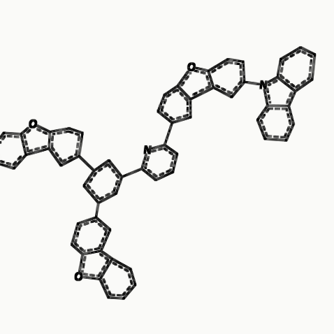 c1cc(-c2cc(-c3ccc4oc5ccccc5c4c3)cc(-c3ccc4oc5ccccc5c4c3)c2)nc(-c2ccc3oc4ccc(-n5c6ccccc6c6ccccc65)cc4c3c2)c1